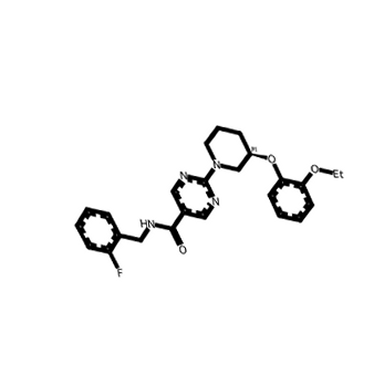 CCOc1ccccc1O[C@@H]1CCCN(c2ncc(C(=O)NCc3ccccc3F)cn2)C1